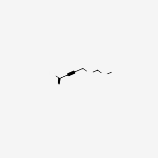 COCOCC#CC(=O)O